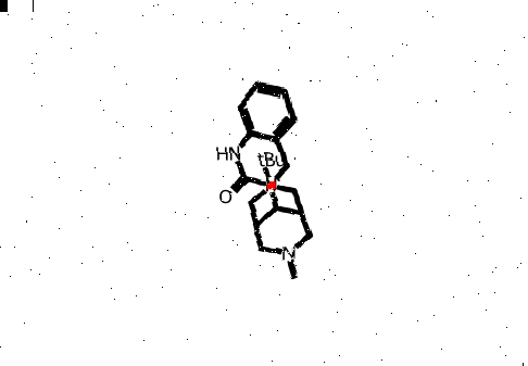 CN1CC2CN(C(C)(C)C)CC(C1)C2N1Cc2ccccc2NC1=O